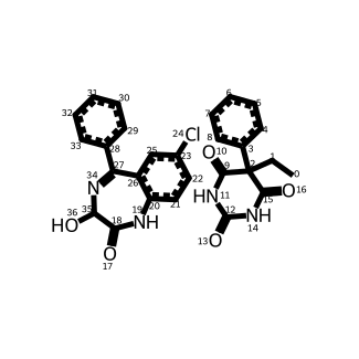 CCC1(c2ccccc2)C(=O)NC(=O)NC1=O.O=C1Nc2ccc(Cl)cc2C(c2ccccc2)=NC1O